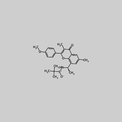 COc1ccc(-c2oc3c([C@@H](C)N[S+]([O-])C(C)(C)C)cc(C)cc3c(=O)c2C)cc1